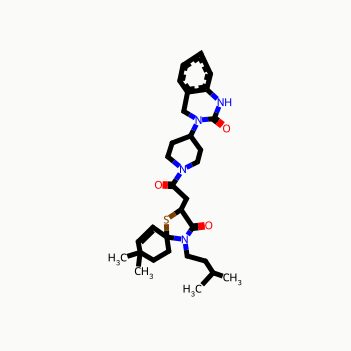 CC(C)CCN1C(=O)C(CC(=O)N2CCC(N3Cc4ccccc4NC3=O)CC2)SC12C=CC(C)(C)CC2